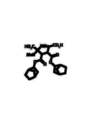 CNC(NC)(C(=O)O)C(C(=O)OC1CC2CCC1C2)C(CC(=O)O)C(=O)OC1CC2CCC1C2